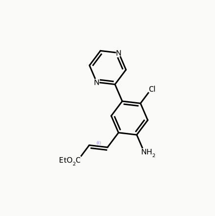 CCOC(=O)/C=C/c1cc(-c2cnccn2)c(Cl)cc1N